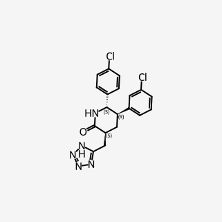 O=C1N[C@H](c2ccc(Cl)cc2)[C@@H](c2cccc(Cl)c2)C[C@H]1Cc1nnn[nH]1